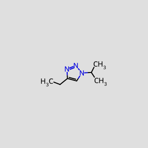 CCc1cn(C(C)C)nn1